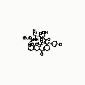 CC(NC(=O)OC(C)(C)C)C(=O)NC(CO)C(=O)N(C)C1(Cc2ccc(Cl)cc2)CCCN(C(=O)C(CC(=O)O)Cc2ccccc2)C1